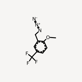 COc1ccc(C(F)(F)F)cc1CN=[N+]=[N-]